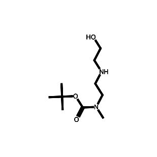 CN(CCNCCO)C(=O)OC(C)(C)C